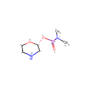 CN(C)[PH](=O)O[C@@H]1CNCCO1